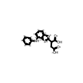 O=C(O)CC(C(=O)O)c1nc2cccc(Nc3ccccc3)c2s1